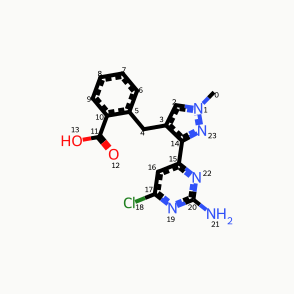 Cn1cc(Cc2ccccc2C(=O)O)c(-c2cc(Cl)nc(N)n2)n1